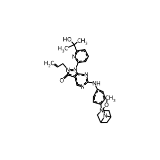 C=CCn1c(=O)c2cnc(Nc3ccc(N4CC5CC(C4)N5COC)cc3)nc2n1-c1cccc(C(C)(C)O)n1